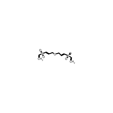 C=CS(=O)(=O)C=CCOCC=CS(=O)(=O)C=C